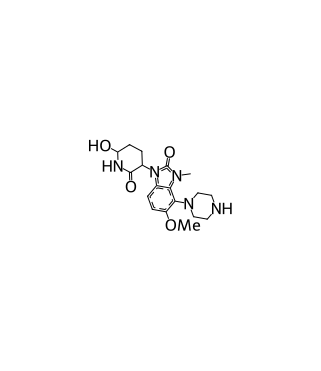 COc1ccc2c(c1N1CCNCC1)n(C)c(=O)n2C1CCC(O)NC1=O